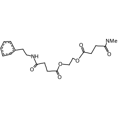 CNC(=O)CCC(=O)OCCOC(=O)CCC(=O)NCCc1ccccc1